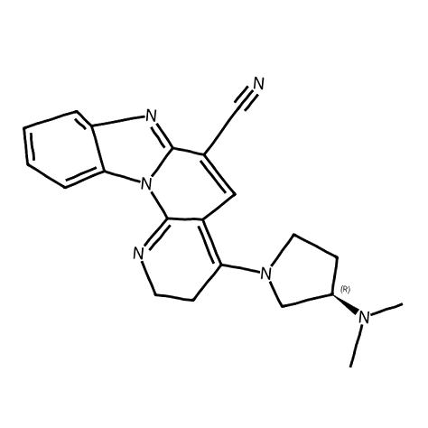 CN(C)[C@@H]1CCN(C2=c3cc(C#N)c4nc5ccccc5n4c3=NCC2)C1